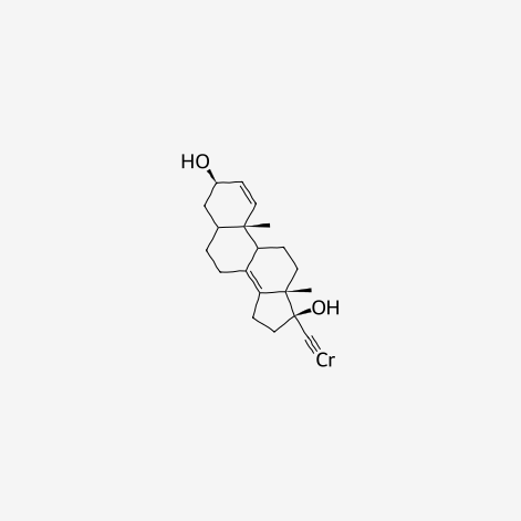 C[C@]12C=C[C@H](O)CC1CCC1=C3CC[C@@](O)([C]#[Cr])[C@@]3(C)CCC12